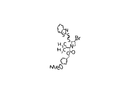 COc1ccc(COC(=O)C(=C(C)C)N2C[C@H](Br)[C@H]2SSc2nc3ccccc3s2)cc1